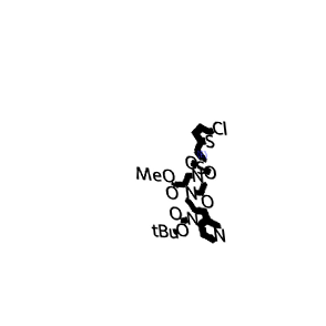 COC(=O)C1CN(S(=O)(=O)/C=C/c2ccc(Cl)s2)CC(=O)N1Cc1cc2cnccc2n1C(=O)OC(C)(C)C